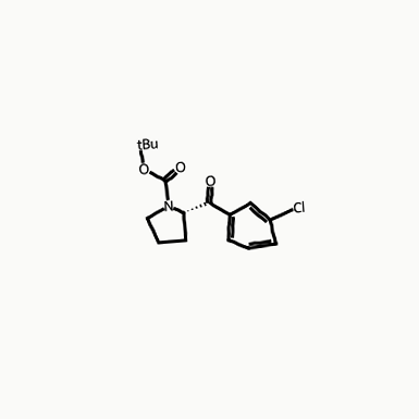 CC(C)(C)OC(=O)N1CCC[C@H]1C(=O)c1cccc(Cl)c1